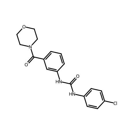 O=C(Nc1ccc(Cl)cc1)Nc1cccc(C(=O)N2CCOCC2)c1